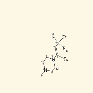 CN1CCN(/C(F)=C/C(F)(F)F)CC1